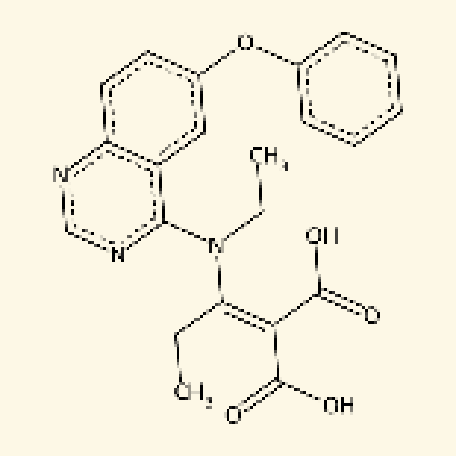 CCC(=C(C(=O)O)C(=O)O)N(CC)c1ncnc2ccc(Oc3ccccc3)cc12